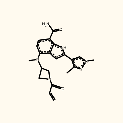 C=CC(=O)N1CC(N(C)c2ccc(C(N)=O)c3[nH]c(-c4cn(C)nc4C)cc23)C1